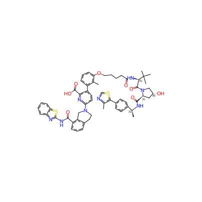 Cc1ncsc1-c1ccc([C@H](C)NC(=O)[C@@H]2C[C@@H](O)CN2C(=O)[C@@H](NC(=O)CCCCOc2cccc(-c3ccc(N4CCc5cccc(C(=O)Nc6nc7ccccc7s6)c5C4)nc3C(=O)O)c2C)C(C)(C)C)cc1